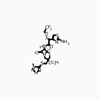 Cn1nnnc1SCC1(C(=O)O)CS[C@@H]2C(NC(=O)C(=NOCC(F)(F)F)c3csc(N)n3)C(=O)N2C1